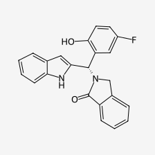 O=C1c2ccccc2CN1[C@H](c1cc2ccccc2[nH]1)c1cc(F)ccc1O